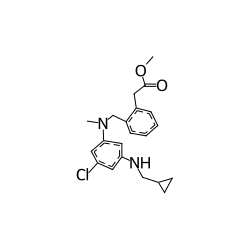 COC(=O)Cc1ccccc1CN(C)c1cc(Cl)cc(NCC2CC2)c1